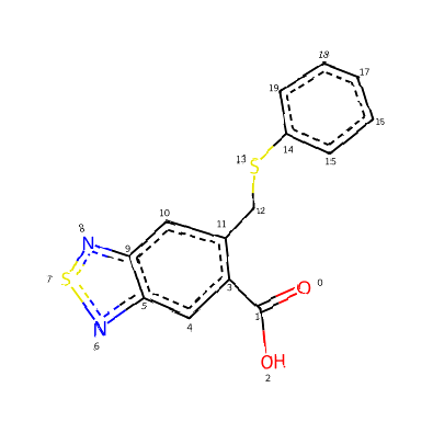 O=C(O)c1cc2nsnc2cc1CSc1ccccc1